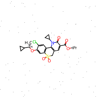 CC(C)OC(=O)c1cc2c(n(C3CC3)c1=O)-c1cc(Cl)c(O[C@H](C)C3CC3)cc1S(=O)(=O)C2